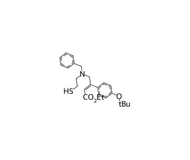 CCOC(=O)C=C(CN(CCS)Cc1ccccc1)c1ccc(OC(C)(C)C)cc1